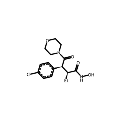 CC[C@H](C(=O)NO)[C@H](C(=O)N1CCOCC1)c1ccc(Cl)cc1